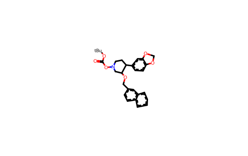 CC(C)(C)OC(=O)ON1CCC(c2ccc3c(c2)OCO3)C(OCc2ccc3ccccc3c2)C1